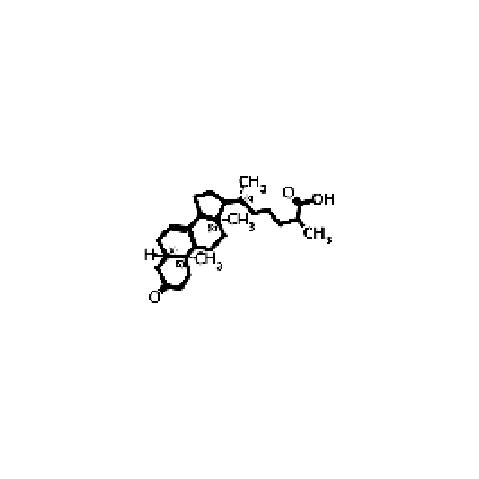 CC(CCC[C@@H](C)C1CCC2C3=CC[C@H]4CC(=O)CC[C@]4(C)C3CC[C@@]21C)C(=O)O